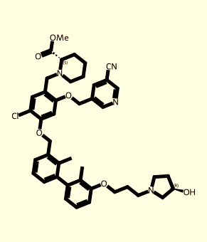 COC(=O)[C@@H]1CCCCN1Cc1cc(Cl)c(OCc2cccc(-c3cccc(OCCCN4CC[C@@H](O)C4)c3C)c2C)cc1OCc1cncc(C#N)c1